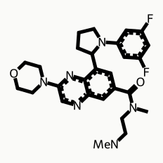 CNCCN(C)C(=O)c1cc(C2CCCN2c2cc(F)cc(F)c2)c2nc(N3CCOCC3)cnc2c1